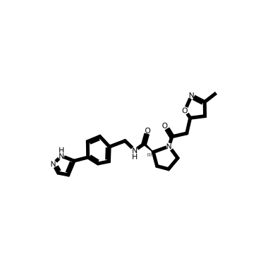 CC1=NOC(CC(=O)N2CCC[C@H]2C(=O)NCc2ccc(-c3ccn[nH]3)cc2)C1